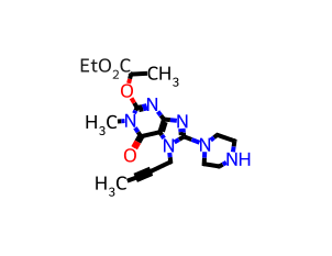 CC#CCn1c(N2CCNCC2)nc2nc(OC(C)C(=O)OCC)n(C)c(=O)c21